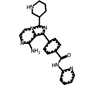 Nc1nccn2c(C3CCCNC3)nc(-c3ccc(C(=O)Nc4ccccn4)cc3)c12